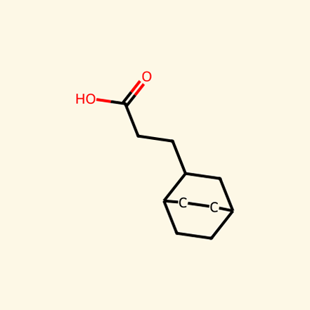 O=C(O)CCC1CC2CCC1CC2